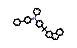 CC(C)(c1ccc(N(c2ccccc2)c2ccc(-c3ccccc3)cc2)cc1)c1ccc2ccc3ccccc3c2c1